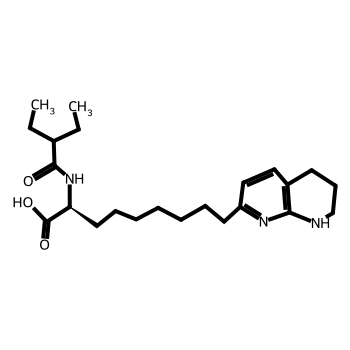 CCC(CC)C(=O)N[C@@H](CCCCCCCc1ccc2c(n1)NCCC2)C(=O)O